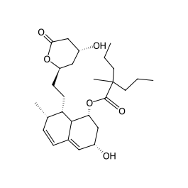 CCCC(C)(CCC)C(=O)O[C@@H]1C[C@H](O)C=C2C=C[C@H](C)[C@H](CC[C@@H]3C[C@@H](O)CC(=O)O3)C21